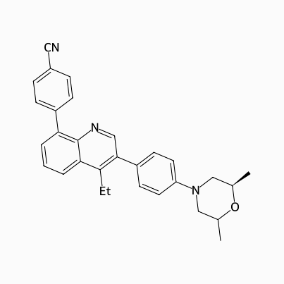 CCc1c(-c2ccc(N3CC(C)O[C@H](C)C3)cc2)cnc2c(-c3ccc(C#N)cc3)cccc12